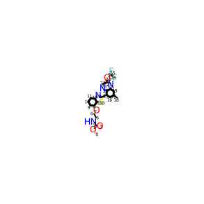 COC(=O)NCCOc1cccc2nc(-c3cc(C)cc4nc(OC(F)F)cnc34)sc12